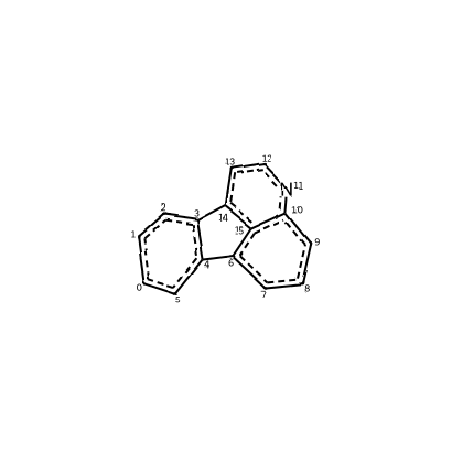 c1ccc2c(c1)-c1cccc3nccc-2c13